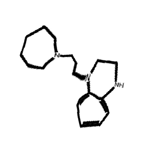 c1ccc2c(c1)NCCN2CCN1CCCCCC1